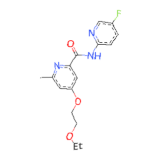 CCOCCOc1cc(C)nc(C(=O)Nc2ccc(F)cn2)c1